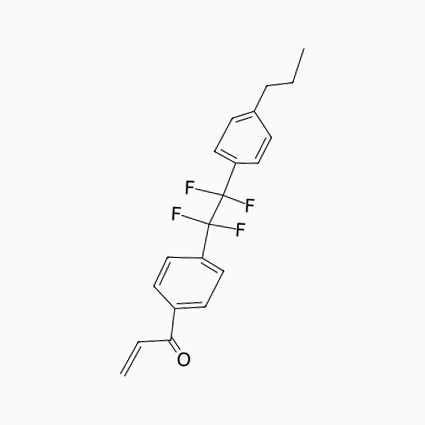 C=CC(=O)c1ccc(C(F)(F)C(F)(F)c2ccc(CCC)cc2)cc1